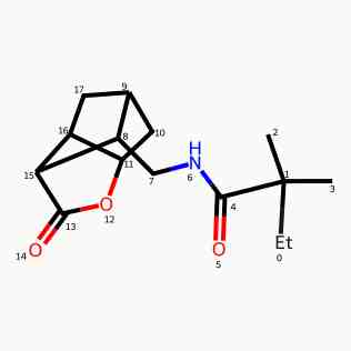 CCC(C)(C)C(=O)NCC1C2CC3OC(=O)C1C3C2